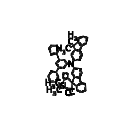 CC1(C)c2ccccc2-c2ccc(N(c3cc(-c4ccccc4)cc(-c4ccccc4)c3)c3ccc4c(c3)C3(c5ccccc5-4)c4ccccc4[Si](C)(C)c4ccccc43)cc21